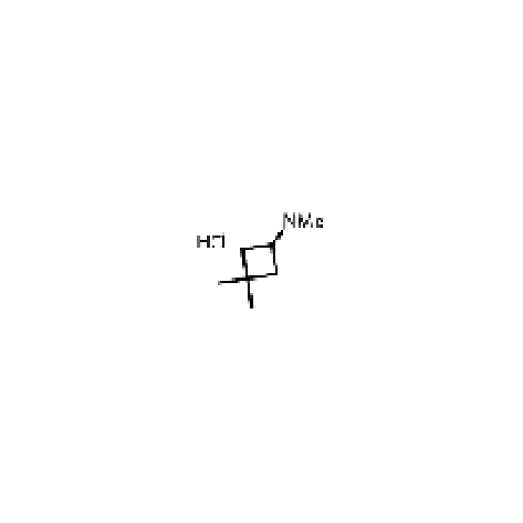 CNC1CC(C)(C)C1.Cl